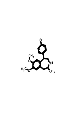 COc1cc2c(cc1OC)C(c1ccc(Br)cc1)CNC(C)C2